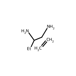 C=C.CCC(N)CN